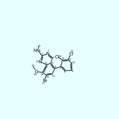 CNc1ncc2c(-c3cccc(Cl)c3Cl)cc(Br)c(OC)c2n1